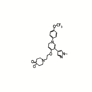 Cn1cc(C2=CN(c3ccc(OC(F)(F)F)cc3)CC=C2OCCN2CCS(=O)(=O)CC2)cn1